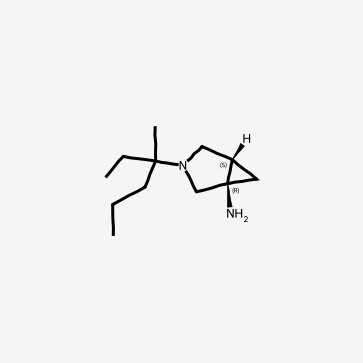 CCCC(C)(CC)N1C[C@@H]2C[C@]2(N)C1